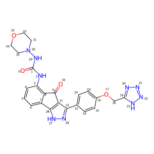 O=C(Nc1cccc2c1C(=O)c1c(-c3ccc(OCc4nnn[nH]4)cc3)n[nH]c1-2)NN1CCOCC1